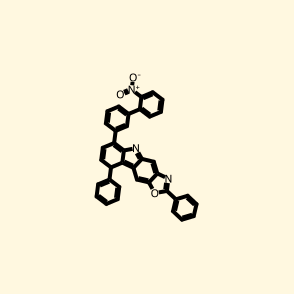 O=[N+]([O-])c1ccccc1-c1cccc(C2=C3N=c4cc5nc(-c6ccccc6)oc5cc4=C3C(c3ccccc3)C=C2)c1